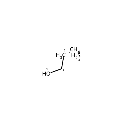 C.CCO.S